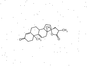 CC1C[C@@]2(CCC3C4CCC5=CC(=O)CCC5(C)C4=CCC32C)OC1=O